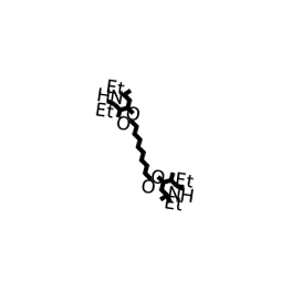 CCC1(C)CC(OC(=O)CCCCCCCCC(=O)OC2CC(C)(CC)NC(C)(CC)C2C)C(C)C(C)(CC)N1